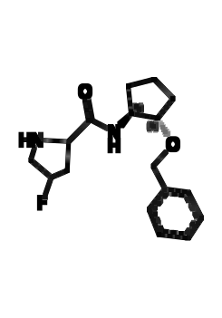 O=C(N[C@H]1CCC[C@@H]1OCc1ccccc1)C1CC(F)CN1